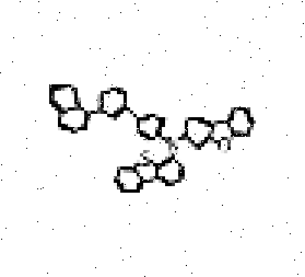 c1cc(-c2ccc(N(c3ccc4c(c3)oc3ccccc34)c3cccc4c3sc3ccccc34)cc2)cc(-c2cccc3ccccc23)c1